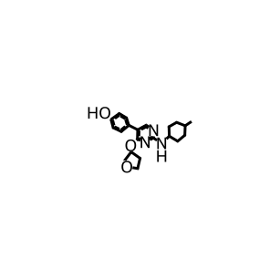 CC1CCC(Nc2ncc(-c3ccc(O)cc3)c(OC3CCOC3)n2)CC1